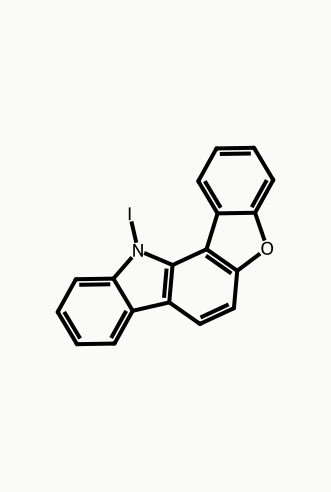 In1c2ccccc2c2ccc3oc4ccccc4c3c21